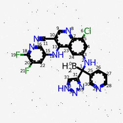 BC(Nc1cc(Cl)c2ncc(C#N)c(Nc3cnc(F)c(F)c3)c2c1)(c1cccnc1)c1c[nH]nn1